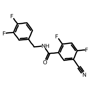 N#Cc1cc(C(=O)NCc2ccc(F)c(F)c2)c(F)cc1F